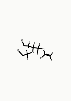 FCC(F)(F)OC(F)(C(F)(F)CF)C(F)(F)OC(F)=C(F)F